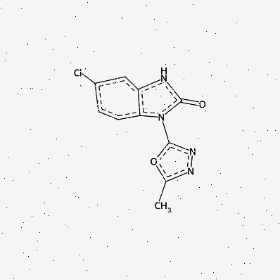 Cc1nnc(-n2c(=O)[nH]c3cc(Cl)ccc32)o1